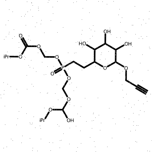 C#CCOC1OC(CCP(=O)(OCOC(=O)OC(C)C)OCOC(O)OC(C)C)C(O)C(O)C1O